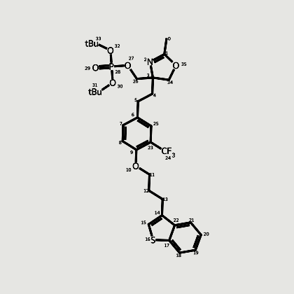 CC1=NC(CCc2ccc(OCCCc3csc4ccccc34)c(C(F)(F)F)c2)(COP(=O)(OC(C)(C)C)OC(C)(C)C)CO1